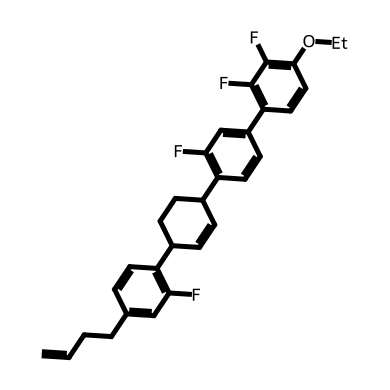 C=CCCc1ccc(C2C=CC(c3ccc(-c4ccc(OCC)c(F)c4F)cc3F)CC2)c(F)c1